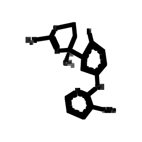 CNc1cccnc1Nc1ccc(F)c([C@]2(C)CCSC(N)=N2)c1